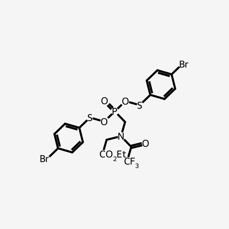 CCOC(=O)CN(CP(=O)(OSc1ccc(Br)cc1)OSc1ccc(Br)cc1)C(=O)C(F)(F)F